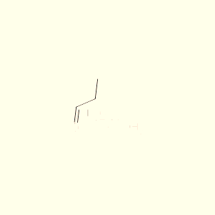 CCC=O.O.O.O